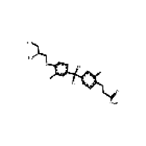 CCC(CC)(c1ccc(CCC(=O)OC)c(C)c1)c1ccc(OC[C@@H](O)CO)c(C)c1